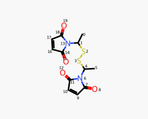 CC(SSC(C)N1C(=O)C=CC1=O)N1C(=O)C=CC1=O